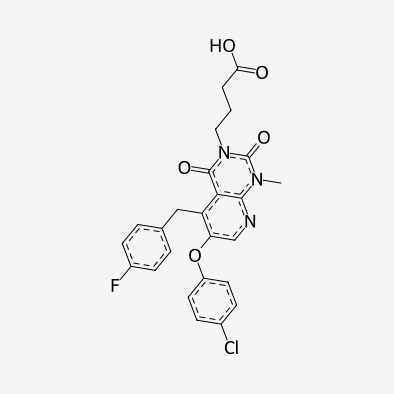 Cn1c(=O)n(CCCC(=O)O)c(=O)c2c(Cc3ccc(F)cc3)c(Oc3ccc(Cl)cc3)cnc21